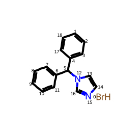 Br.c1ccc(C(c2ccccc2)n2ccnc2)cc1